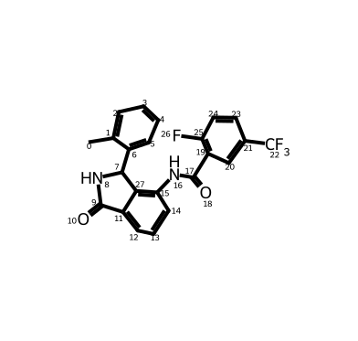 Cc1ccccc1C1NC(=O)c2cccc(NC(=O)c3cc(C(F)(F)F)ccc3F)c21